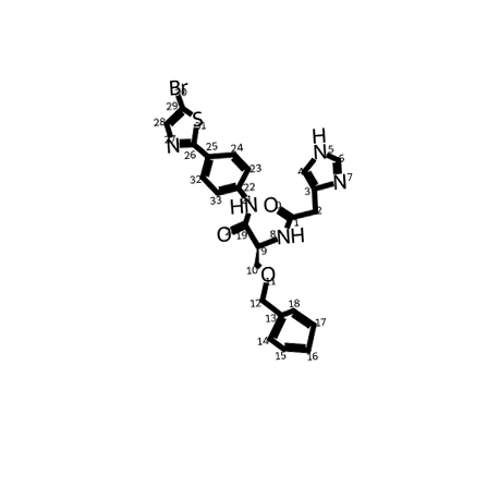 O=C(Cc1c[nH]cn1)N[C@@H](COCc1ccccc1)C(=O)Nc1ccc(-c2ncc(Br)s2)cc1